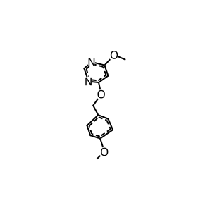 COc1ccc(COc2cc(OC)ncn2)cc1